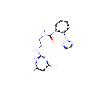 CCN(CCNc1nc(C)cc(C)n1)C(=O)c1ccccc1-n1nccn1